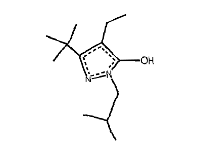 CCc1c(C(C)(C)C)nn(CC(C)C)c1O